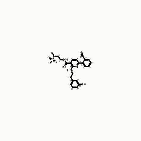 CN(CCNC(=O)c1ccc(-c2ccccc2C#N)nc1NCCc1cccc(F)c1)S(C)(=O)=O